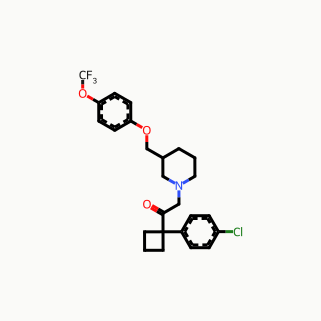 O=C(CN1CCCC(COc2ccc(OC(F)(F)F)cc2)C1)C1(c2ccc(Cl)cc2)CCC1